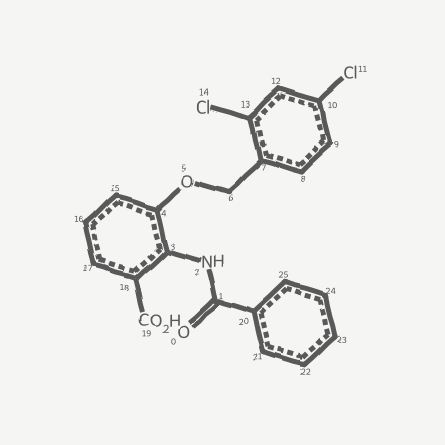 O=C(Nc1c(OCc2ccc(Cl)cc2Cl)cccc1C(=O)O)c1ccccc1